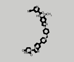 COc1cc2nn([C@H]3CC[C@H](CN4CCC(c5ccn6c(N7CCC(=O)NC7=O)cnc6c5)CC4)CC3)cc2cc1NC(=O)c1cncc(C#N)c1